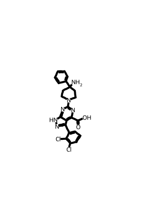 NC1(c2ccccc2)CCN(c2nc(C(=O)O)c3c(-c4cccc(Cl)c4Cl)n[nH]c3n2)CC1